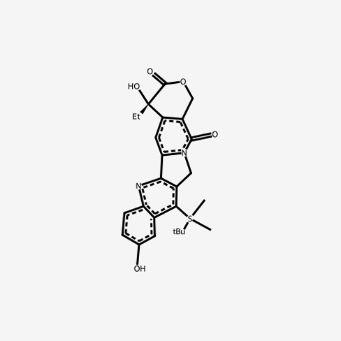 CC[C@@]1(O)C(=O)OCc2c1cc1n(c2=O)Cc2c-1nc1ccc(O)cc1c2S(C)(C)C(C)(C)C